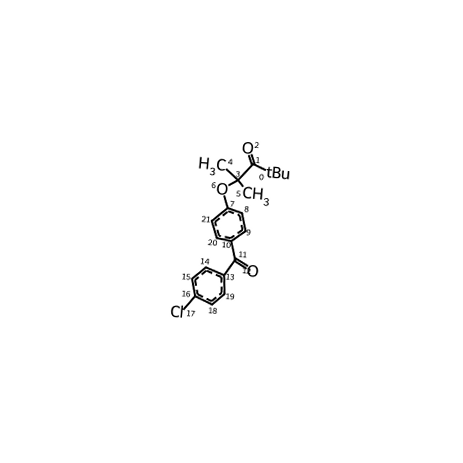 CC(C)(C)C(=O)C(C)(C)Oc1ccc(C(=O)c2ccc(Cl)cc2)cc1